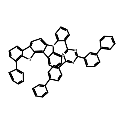 c1ccc(-c2ccc(-c3nc(-c4cccc(-c5ccccc5)c4)nc(-c4ccccc4-n4c5ccccc5c5c6oc7c(-c8ccccc8)cccc7c6ccc54)n3)cc2)cc1